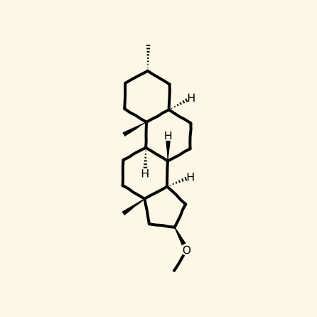 CO[C@@H]1C[C@@H]2[C@H]3CC[C@@H]4C[C@@H](C)CC[C@@]4(C)[C@@H]3CC[C@@]2(C)C1